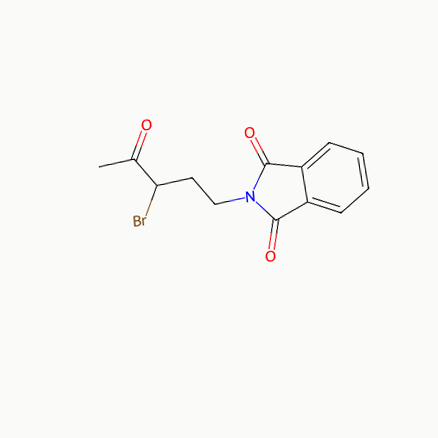 CC(=O)C(Br)CCN1C(=O)c2ccccc2C1=O